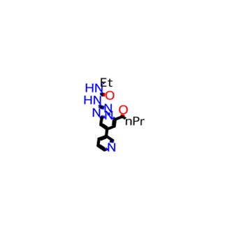 CCCC(=O)c1cc(-c2cccnc2)cc2nc(NC(=O)NCC)nn12